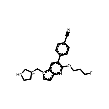 N#Cc1ccc(-c2cc3c(ccn3C[C@H]3CCNC3)nc2OCCCF)cc1